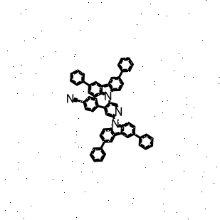 N#Cc1ccc(-c2cc(-n3c4ccc(-c5ccccc5)cc4c4cc(-c5ccccc5)ccc43)ncc2-n2c3ccc(-c4ccccc4)cc3c3cc(-c4ccccc4)ccc32)cc1